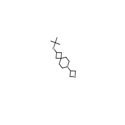 CC(C)(C)OC1CC2(CCN(C3COC3)CC2)C1